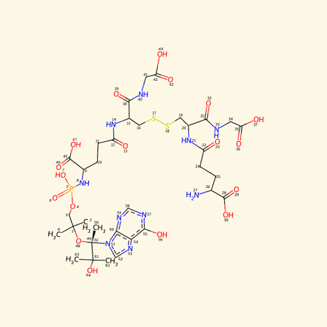 CC(C)(COP(=O)(O)NC(CCC(=O)NC(CSSCC(NC(=O)CCC(N)C(=O)O)C(=O)NCC(=O)O)C(=O)NCC(=O)O)C(=O)O)O[C@](C)(n1cnc2c(O)ncnc21)C(C)(C)O